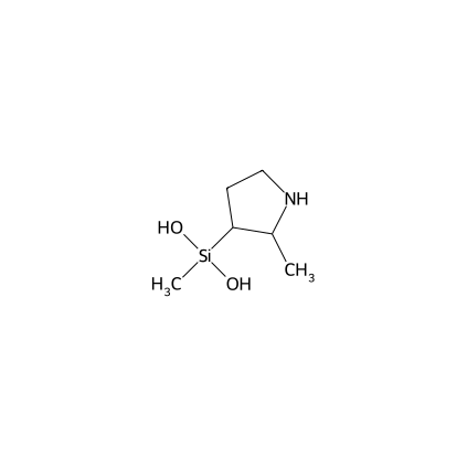 CC1NCCC1[Si](C)(O)O